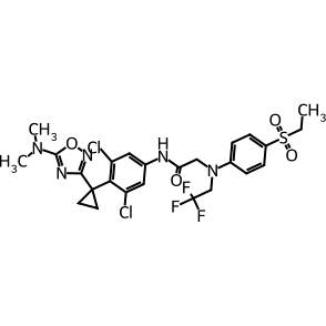 CCS(=O)(=O)c1ccc(N(CC(=O)Nc2cc(Cl)c(C3(c4noc(N(C)C)n4)CC3)c(Cl)c2)CC(F)(F)F)cc1